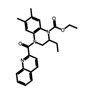 CCOC(=O)N1c2cc(C)c(C)cc2N(C(=O)c2ccc3ccccc3n2)CC1CC